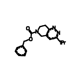 CC(C)c1cc2c(nn1)CCN(C(=O)OCc1ccccc1)C2